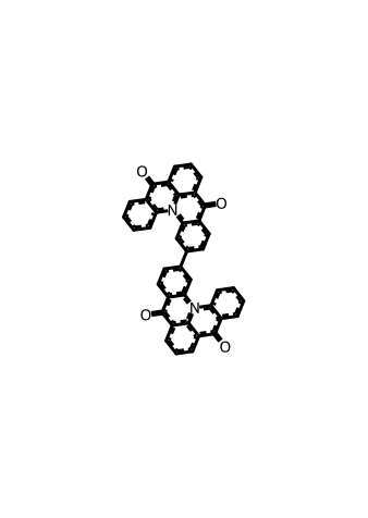 O=c1c2ccccc2n2c3cc(-c4ccc5c(=O)c6cccc7c(=O)c8ccccc8n(c5c4)c76)ccc3c(=O)c3cccc1c32